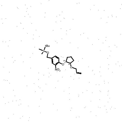 C=CCO[C@@H]1CCC[C@H]1Oc1ccc(CO[Si](C)(C)C(C)(C)C)cc1[N+](=O)[O-]